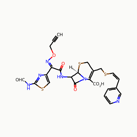 C#CCO/N=C(\C(=O)NC1C(=O)N2C(C(=O)O)=C(CS/C=C\c3cccnc3)CS[C@H]12)c1csc(NC=O)n1